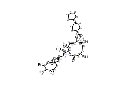 CCC(O)C(C)C1OC1CC(C)(O)/C=C/C=C(\C)C1OC(=O)CC(O)CCC(C)(O)C(OC(=O)N2CCN(C3CCCCC3)CC2)/C=C/C1C